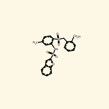 Cc1ccc(S(=O)(=O)Cc2ccccc2C(=O)O)c(NS(=O)(=O)c2cc3ccccc3o2)c1